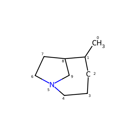 CC1CCCN2CCC1C2